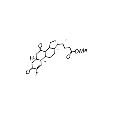 COC(=O)CC[C@@H](C)[C@H]1CCC2C3C(=O)C[C@@H]4CC(=O)C(F)=C[C@]4(C)C3CC[C@@]21C